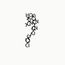 Cc1ncc(-c2ccc(OCCOc3ccc(Cl)cc3)cn2)c(N2CCC(C)(C)CC2)c1[C@H](OC(C)(C)C)C(=O)O